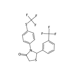 O=C1CSC(c2cccc(C(F)(F)F)c2)N1c1ccc(SC(F)(F)F)cc1